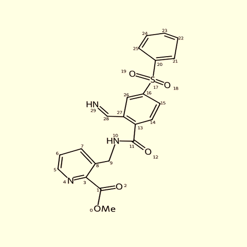 COC(=O)c1ncccc1CNC(=O)c1ccc(S(=O)(=O)c2ccccc2)cc1C=N